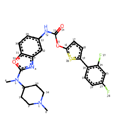 CN1CCC(N(C)c2nc3cc(NC(=O)Oc4ccc(-c5ccc(F)cc5F)s4)ccc3o2)CC1